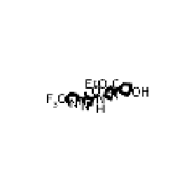 CCOC(=O)C1(c2ccc(NC(=O)c3cnn(-c4ccc(C(F)(F)F)cn4)c3C)cn2)CCC(O)CC1